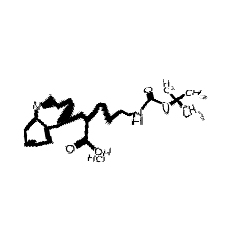 CC(C)(C)OC(=O)NCCCC(C(=O)O)c1ccnc2ccccc12.Cl